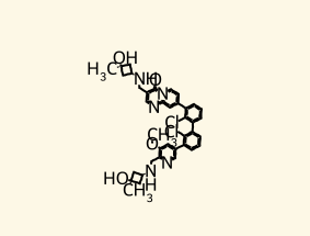 COc1cc(-c2cccc(-c3cccc(-c4ccn5c(=O)c(CN[C@H]6C[C@](C)(O)C6)cnc5c4)c3Cl)c2Cl)cnc1CN[C@H]1C[C@](C)(O)C1